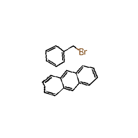 BrCc1ccccc1.c1ccc2cc3ccccc3cc2c1